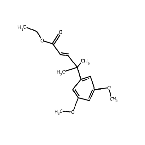 CCOC(=O)C=CC(C)(C)c1cc(OC)cc(OC)c1